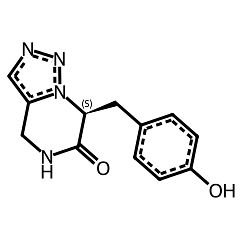 O=C1NCc2cnnn2[C@H]1Cc1ccc(O)cc1